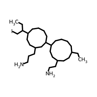 CCC1CCCCC(C2CCCCC(C(CC)CI)CCC(CCCN)C2)CCC(CCN)CC1